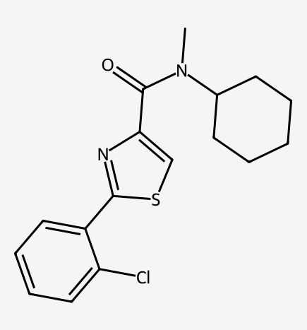 CN(C(=O)c1csc(-c2ccccc2Cl)n1)C1CCCCC1